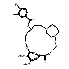 COc1cc2cc(c1OC)OCCCC(OC(=O)c1ccc(F)c(C#N)c1)CCN1CCCN(CCCOC2=O)CC1